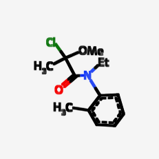 CCN(C(=O)C(C)(Cl)OC)c1ccccc1C